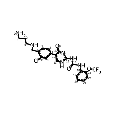 NCCCNCc1ccc(-c2c[nH]c(NC(=O)Nc3ccccc3OC(F)(F)F)nc2=O)cc1Cl